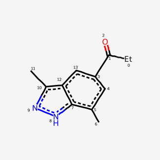 CCC(=O)c1cc(C)c2[nH]nc(C)c2c1